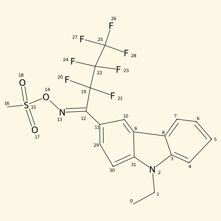 CCn1c2ccccc2c2cc(C(=NOS(C)(=O)=O)C(F)(F)C(F)(F)C(F)(F)F)ccc21